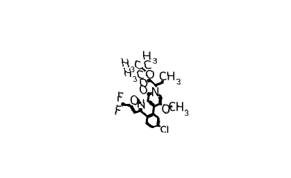 CCC(C(=O)OC(C)(C)C)n1cc(OC)c(-c2cc(Cl)ccc2-c2cc(C(F)F)on2)cc1=O